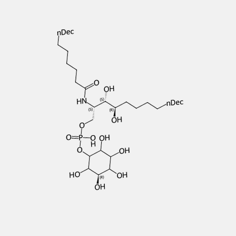 CCCCCCCCCCCCCCCC(=O)N[C@@H](COP(=O)(O)OC1C(O)C(O)C(O)[C@@H](O)C1O)[C@H](O)[C@H](O)CCCCCCCCCCCCCC